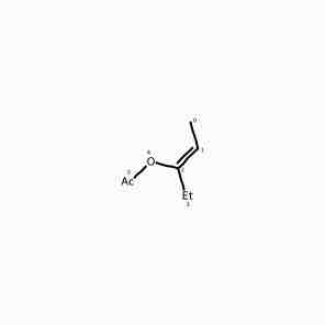 C/C=C(/CC)OC(C)=O